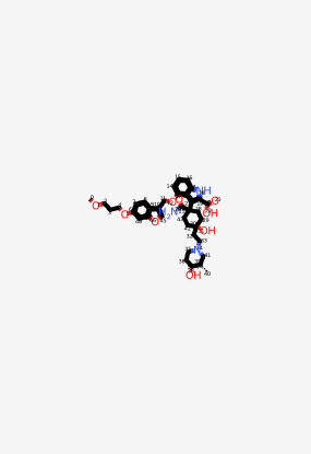 COCCCOc1ccc2c(COc3cccc4[nH]c(C(=O)O)c(C5(C(N)=O)CCC(O)(CCN6CC[C@H](O)[C@@H](C)C6)CC5)c34)coc2c1